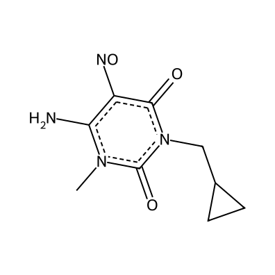 Cn1c(N)c(N=O)c(=O)n(CC2CC2)c1=O